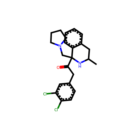 CC1Cc2ccccc2C(CN2CCCC2)(C(=O)Cc2ccc(Cl)c(Cl)c2)N1